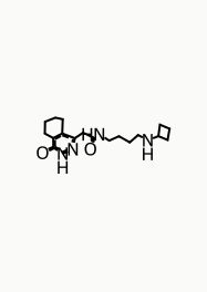 O=C(Cc1n[nH]c(=O)c2c1CCCC2)NCCCCNC1CCC1